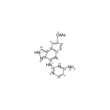 COc1ccc2nc(Nc3nccc(N)n3)c3n[nH]cc3c2c1